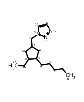 CCCCCC1CC(Cn2ccnn2)CC1CC